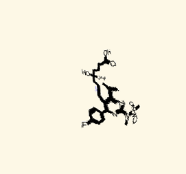 CC(C)c1nc(N(C)S(C)(=O)=O)nc(-c2ccc(F)cc2)c1/C=C/CC(O)(O)CCCC(=O)O